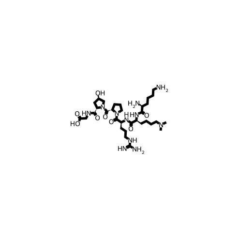 CN(C)CCCC[C@H](NC(=O)[C@@H](N)CCCCN)C(=O)N[C@@H](CCCNC(=N)N)C(=O)N1CCC[C@H]1C(=O)N1C[C@H](O)C[C@H]1C(=O)NCC(=O)O